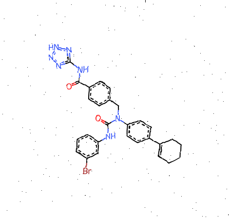 O=C(Nc1nn[nH]n1)c1ccc(CN(C(=O)Nc2cccc(Br)c2)c2ccc(C3=CCCCC3)cc2)cc1